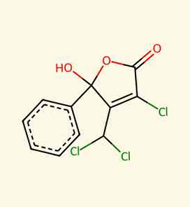 O=C1OC(O)(c2ccccc2)C(C(Cl)Cl)=C1Cl